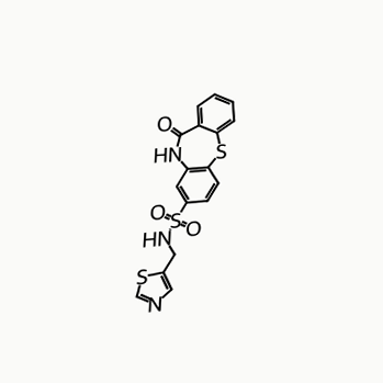 O=C1Nc2cc(S(=O)(=O)NCc3cncs3)ccc2Sc2ccccc21